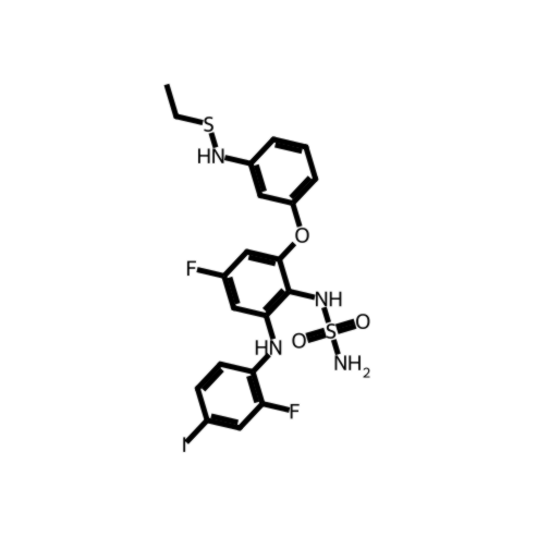 CCSNc1cccc(Oc2cc(F)cc(Nc3ccc(I)cc3F)c2NS(N)(=O)=O)c1